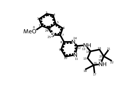 COc1cccc2cc(-c3ccnc(NC4CC(C)(C)NC(C)(C)C4)n3)sc12